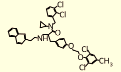 Cc1cc(Cl)c(OCCOc2ccc(CC(CNCCc3ccc4ccccc4c3)C(=O)N(Cc3cccc(Cl)c3Cl)C3CC3)cc2)c(Cl)c1